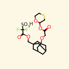 O=C(COC12CC3CC(CC(COC(=O)C(F)(F)S(=O)(=O)O)(C3)C1)C2)OC1CSCCO1